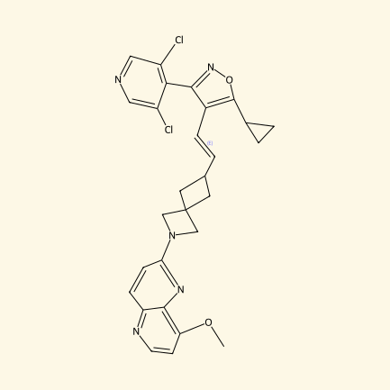 COc1ccnc2ccc(N3CC4(CC(/C=C/c5c(-c6c(Cl)cncc6Cl)noc5C5CC5)C4)C3)nc12